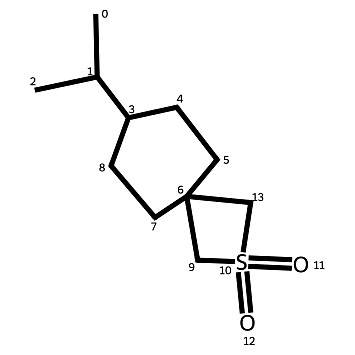 CC(C)C1CCC2(CC1)CS(=O)(=O)C2